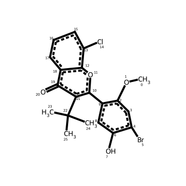 COc1cc(Br)c(O)cc1-c1oc2c(Cl)cccc2c(=O)c1C(C)(C)C